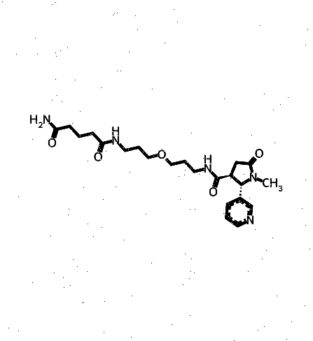 CN1C(=O)C[C@H](C(=O)NCCCOCCCNC(=O)CCCC(N)=O)[C@H]1c1cccnc1